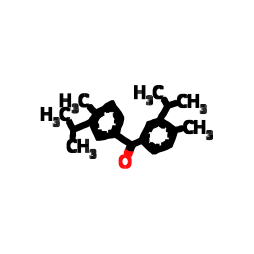 Cc1ccc(C(=O)c2ccc(C)c(C(C)C)c2)cc1C(C)C